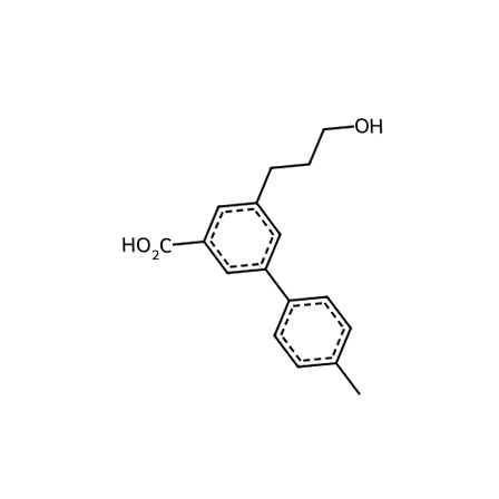 Cc1ccc(-c2cc(CCCO)cc(C(=O)O)c2)cc1